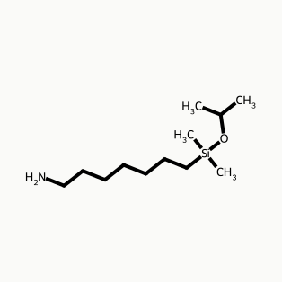 CC(C)O[Si](C)(C)CCCCCCCN